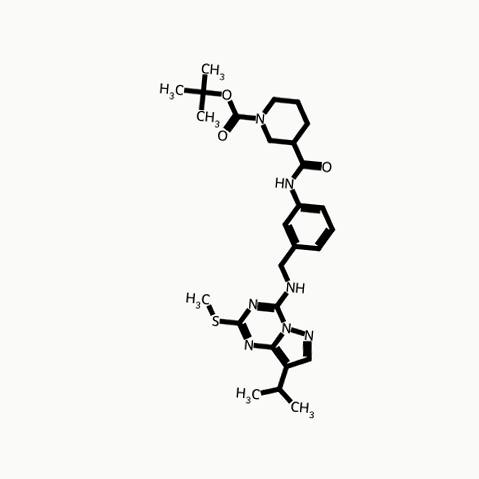 CSc1nc(NCc2cccc(NC(=O)C3CCCN(C(=O)OC(C)(C)C)C3)c2)n2ncc(C(C)C)c2n1